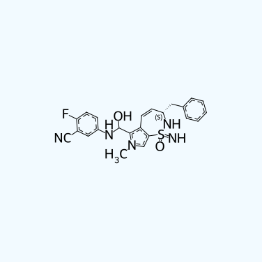 Cn1cc2c(c1C(O)Nc1ccc(F)c(C#N)c1)C=C[C@H](Cc1ccccc1)NS2(=N)=O